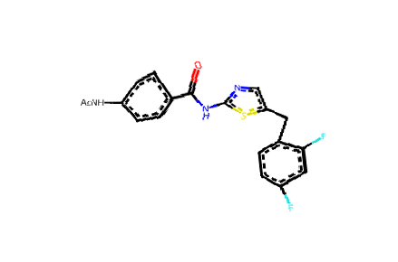 CC(=O)Nc1ccc(C(=O)Nc2ncc(Cc3ccc(F)cc3F)s2)cc1